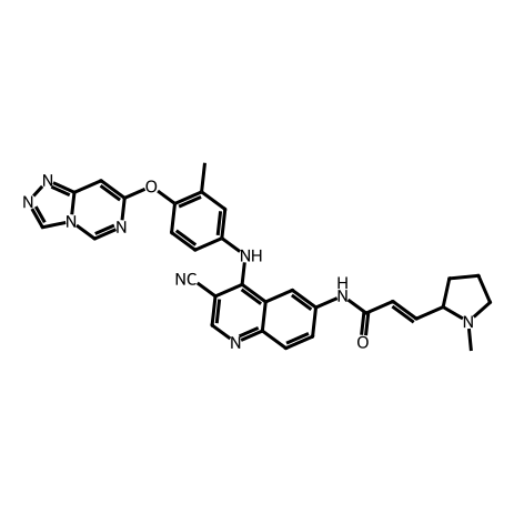 Cc1cc(Nc2c(C#N)cnc3ccc(NC(=O)C=CC4CCCN4C)cc23)ccc1Oc1cc2nncn2cn1